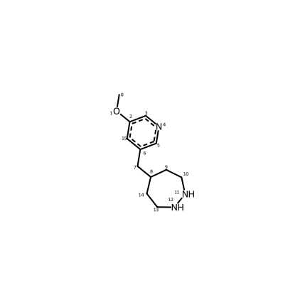 COc1cncc(CC2CCNNCC2)c1